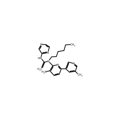 C=C(Nc1cnccn1)N(CCCCCC)c1nc(-c2cncc(C)c2)ccc1N